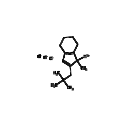 C[C]1([Ti+3])C(C[Si](C)(C)C)=CC2=C1CCCC2.[Cl-].[Cl-].[Cl-]